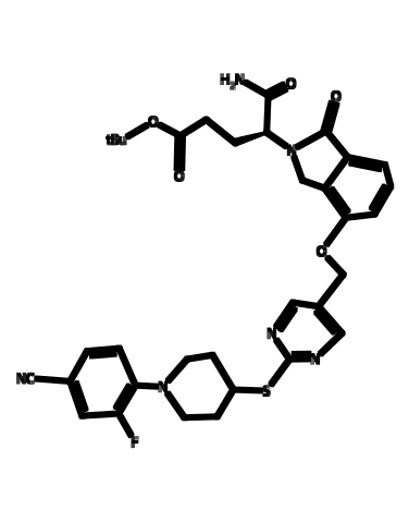 CC(C)(C)OC(=O)CC[C@@H](C(N)=O)N1Cc2c(OCc3cnc(SC4CCN(c5ccc(C#N)cc5F)CC4)nc3)cccc2C1=O